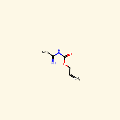 C=CCOC(=O)NC(=N)SC